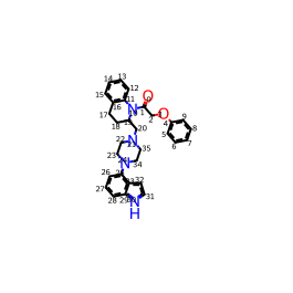 O=C(COc1ccccc1)N1c2ccccc2CCC1CN1CCN(c2cccc3[nH]ccc23)CC1